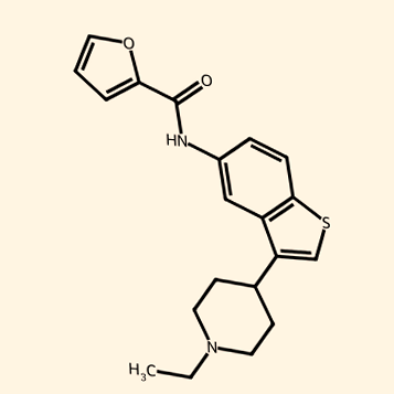 CCN1CCC(c2csc3ccc(NC(=O)c4ccco4)cc23)CC1